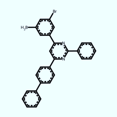 Bc1cc(Br)cc(-c2cc(-c3ccc(-c4ccccc4)cc3)nc(-c3ccccc3)n2)c1